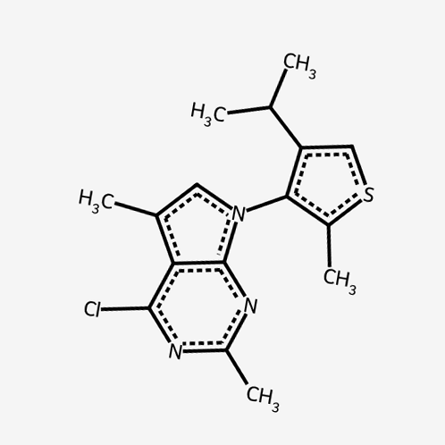 Cc1nc(Cl)c2c(C)cn(-c3c(C(C)C)csc3C)c2n1